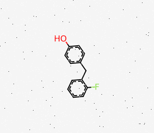 Oc1ccc(Cc2ccccc2F)cc1